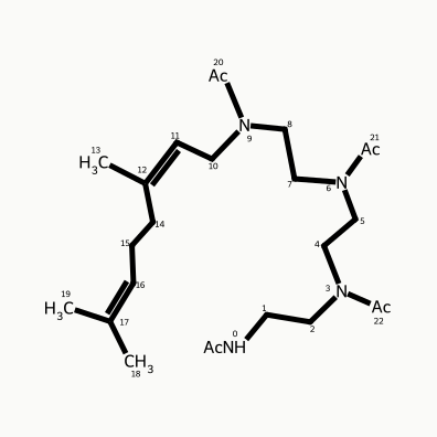 CC(=O)NCCN(CCN(CCN(CC=C(C)CCC=C(C)C)C(C)=O)C(C)=O)C(C)=O